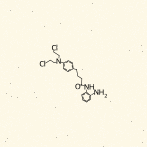 Nc1ccccc1NC(=O)CCCc1ccc(N(CCCl)CCCl)cc1